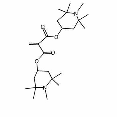 C=C(C(=O)OC1CC(C)(C)N(C)C(C)(C)C1)C(=O)OC1CC(C)(C)N(C)C(C)(C)C1